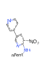 CCCCCNc1ncc(-c2ccncc2)cc1[N+](=O)[O-]